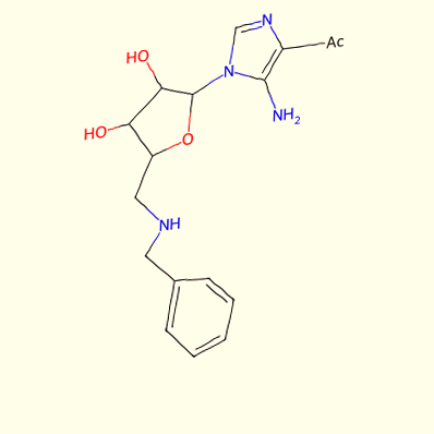 CC(=O)c1ncn(C2OC(CNCc3ccccc3)C(O)C2O)c1N